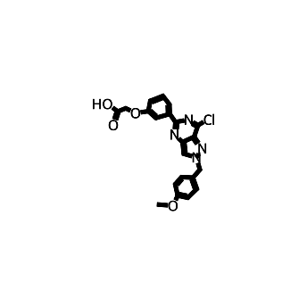 COc1ccc(Cn2cc3nc(-c4cccc(OCC(=O)O)c4)nc(Cl)c3n2)cc1